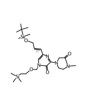 CN1CCN(c2nc(/C=C/CO[Si](C)(C)C(C)(C)C)cn(COCC[Si](C)(C)C)c2=O)CC1=O